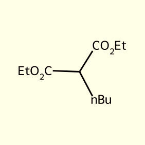 CCCCC(C(=O)OCC)C(=O)OCC